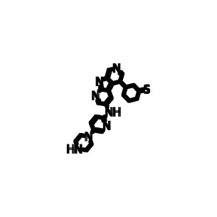 S=C1CCCC(C2C=NC=C3N=c4ncc(Nc5ccc(N6CCNCC6)cn5)cc4=C32)C1